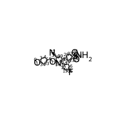 COc1ccc(COc2nc(-c3ccc(F)cc3)c(-c3ccc(S(N)(=O)=O)cc3)cc2C#N)cc1